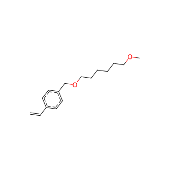 C=Cc1ccc(COCCCCCCOC)cc1